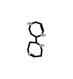 C1=CNC(C2CCN=CCCN2)CCNC1